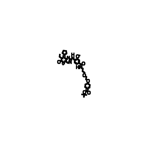 CCC1C(=O)N(C)c2cnc(Nc3ccc(C(=O)NCCCOCCOC4CCN(C(=O)OC(C)(C)C)CC4)cc3OC)nc2N1C1CCCC1